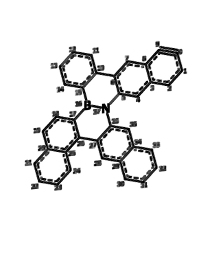 c1ccc2cc3c(cc2c#1)-c1ccccc1B1c2ccc4ccccc4c2-c2cc4ccccc4cc2N13